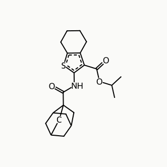 CC(C)OC(=O)c1c(NC(=O)C23CC4CC(CC2C4)C3)sc2c1CCCC2